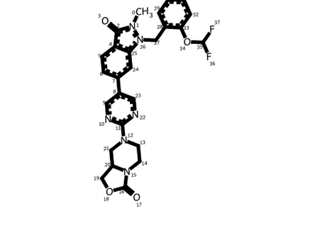 Cn1c(=O)c2ccc(-c3cnc(N4CCN5C(=O)OCC5C4)nc3)cc2n1Cc1ccccc1OC(F)F